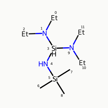 CCN(CC)[SiH](N[Si](C)(C)C)N(CC)CC